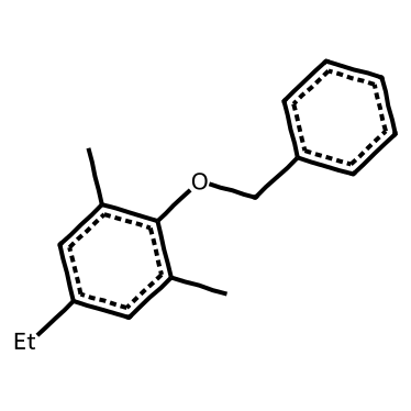 CCc1cc(C)c(OCc2ccccc2)c(C)c1